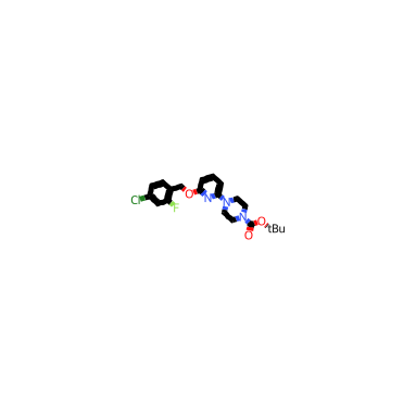 CC(C)(C)OC(=O)N1CCN(c2cccc(OCc3ccc(Cl)cc3F)n2)CC1